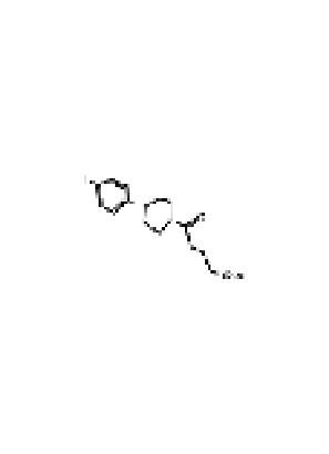 CCCCCCCCCCCCCC(=O)[C@H]1CC[C@H](c2ccc(F)cc2)CC1